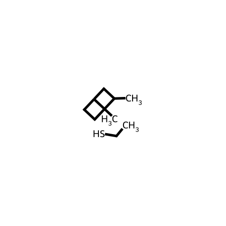 CC1CC2CCC12C.CCS